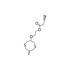 C=C1CSCC(OCCOC(=O)CC#N)CSC1